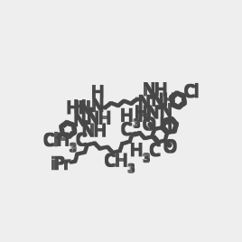 CC(=CCC1=C(C)C(=O)c2ccccc2C1=O)CCCC(C)CCCC(C)CCCC(C)C.N=C(NCCCCCCNC(=N)NC(=N)Nc1ccc(Cl)cc1)NC(=N)Nc1ccc(Cl)cc1